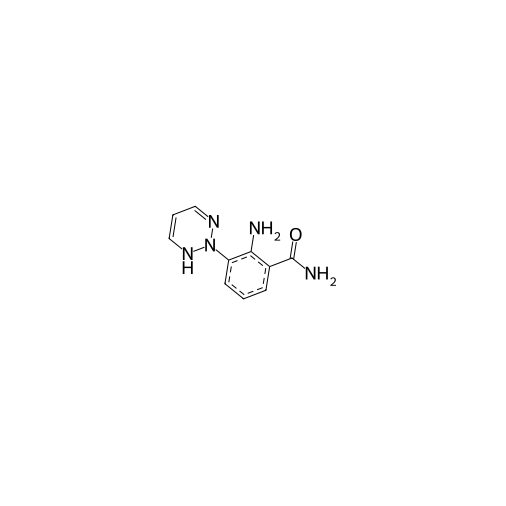 NC(=O)c1cccc(N2N=CC=CN2)c1N